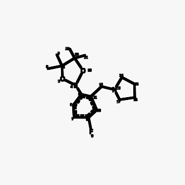 CC1(C)OB(c2ccc(F)cc2CN2CCCC2)OC1(C)C